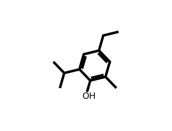 CCc1cc(C)c(O)c(C(C)C)c1